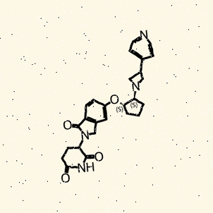 O=C1CCC(N2Cc3cc(O[C@H]4CCC[C@@H]4N4CC(c5ccncc5)C4)ccc3C2=O)C(=O)N1